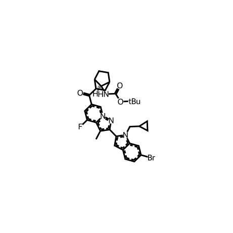 Cc1c(-c2cc3ccc(Br)cc3n2CC2CC2)nn2cc(C(=O)C3CC4CCC3[C@@H]4NC(=O)OC(C)(C)C)cc(F)c12